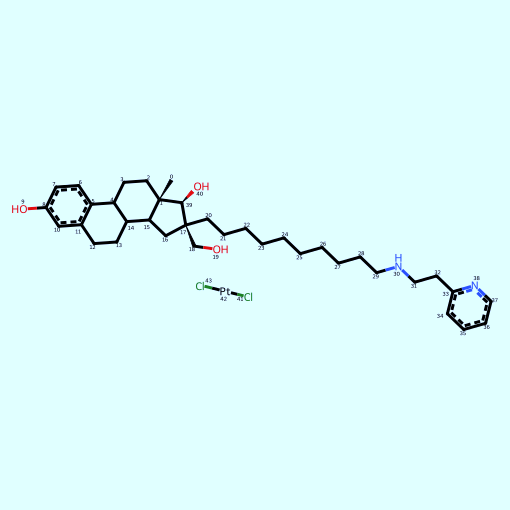 C[C@]12CCC3c4ccc(O)cc4CCC3C1C[C@@](CO)(CCCCCCCCCCNCCc1ccccn1)[C@@H]2O.[Cl][Pt][Cl]